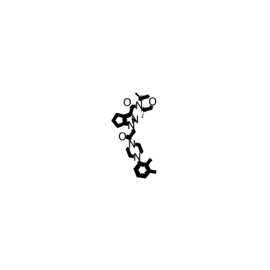 Cc1cccc(N2CCN(C(=O)Cn3nc(C(=O)N4[C@@H](C)COC[C@@H]4C)c4c3CCC4)CC2)c1C